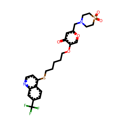 O=c1cc(CN2CCS(=O)(=O)CC2)occ1OCCCCCSc1ccnc2cc(C(F)(F)F)ccc12